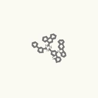 c1ccc(-c2cccc(-c3nc(-c4cc(-n5c6ccccc6c6cc7ccccc7cc65)c5c(c4)sc4ccccc45)nc(-c4cc5ccccc5c5ccccc45)n3)c2)cc1